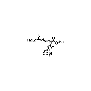 CC(C)(C)OC(=O)N(CCCCC(N)C(=O)O)C(=O)COCC(=O)O